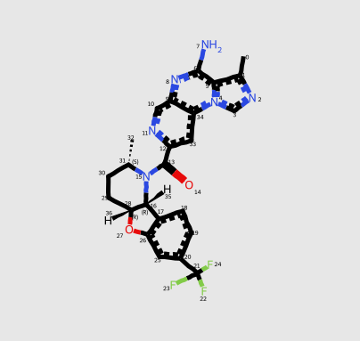 Cc1ncn2c1c(N)nc1cnc(C(=O)N3[C@@H]4c5ccc(C(F)(F)F)cc5O[C@@H]4CC[C@@H]3C)cc12